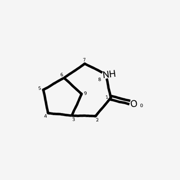 O=C1CC2CCC(CN1)C2